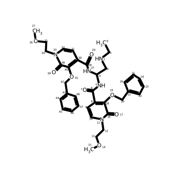 CCNCC(NC(=O)c1ccn(CCOC)c(=O)c1OCc1ccccc1)NC(=O)c1ccn(CCOC)c(=O)c1OCc1ccccc1